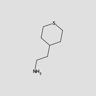 NCCC1CCSCC1